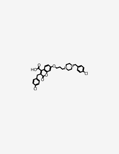 O=C(O)c1c(Cc2ccc(Cl)cc2)c(=O)oc2cc(OCCCN3CCN(Cc4ccc(Cl)cc4)CC3)ccc12